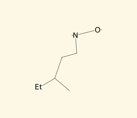 CCC(C)CC[N][O]